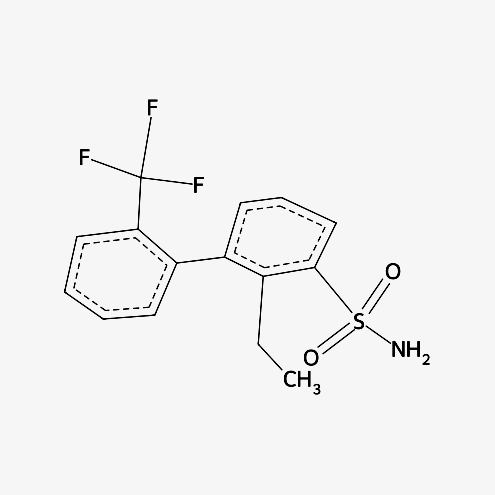 CCc1c(-c2ccccc2C(F)(F)F)cccc1S(N)(=O)=O